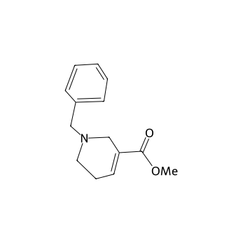 COC(=O)C1=CCCN(Cc2ccccc2)C1